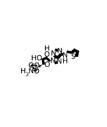 NS(=O)(=O)OC[C@H]1O[C@@H](n2cnc3c(NCc4cccs4)ncnc32)[C@H](O)[C@@H]1O